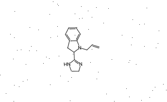 C=CCN1c2ccccc2CC1C1=NCCN1